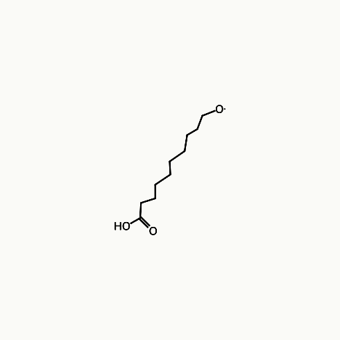 [O]CCCCCCCCCC(=O)O